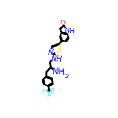 NC(CNc1ncc(-c2ccc3c(c2)CC(=O)N3)s1)Cc1ccc(C(F)(F)F)cc1